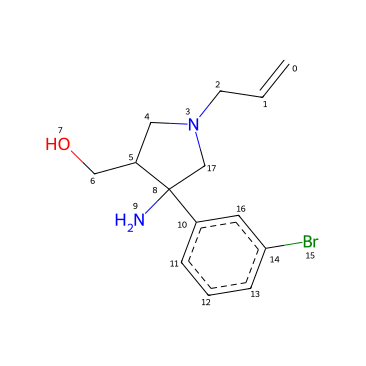 C=CCN1CC(CO)C(N)(c2cccc(Br)c2)C1